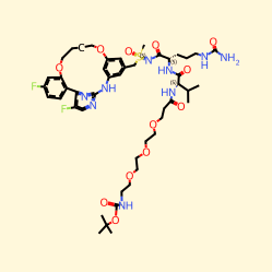 CC(C)[C@H](NC(=O)CCOCCOCCOCCNC(=O)OC(C)(C)C)C(=O)N[C@@H](CCCNC(N)=O)C(=O)N=[S@@](C)(=O)Cc1cc2cc(c1)OCCCCOc1cc(F)ccc1-c1nc(ncc1F)N2